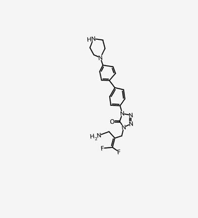 NCC(Cn1nnn(-c2ccc(-c3ccc(N4CCNCC4)cc3)cc2)c1=O)=C(F)F